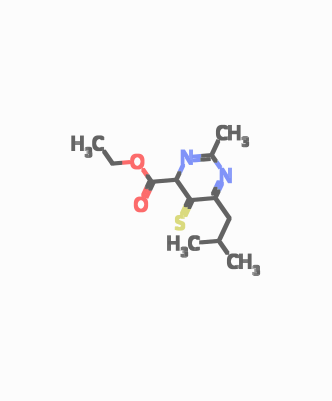 CCOC(=O)C1N=C(C)N=C(CC(C)C)C1=S